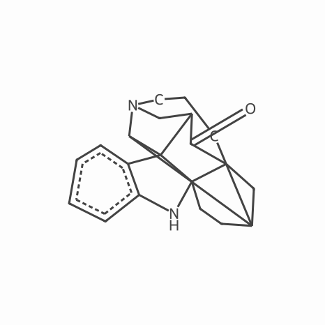 O=C1C2CC34CCCN5CC1C1(c6ccccc6NC21CC3)C54